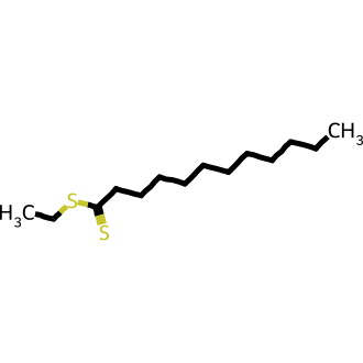 CCCCCCCCCCCC(=S)SCC